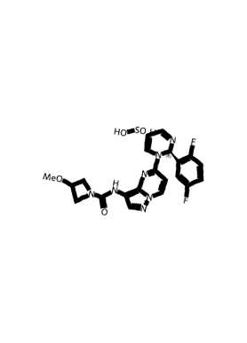 COC1CN(C(=O)Nc2cnn3ccc(N4C=CC=N[C@H]4c4cc(F)ccc4F)nc23)C1.O=S(=O)(O)O